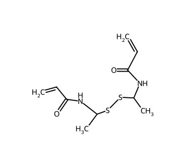 C=CC(=O)NC(C)SSC(C)NC(=O)C=C